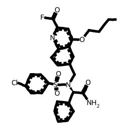 CCCCOc1cc(C(=O)F)nc2ccc(CN([C@@H](C(N)=O)c3ccccc3)S(=O)(=O)c3ccc(Cl)cc3)cc12